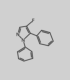 Fc1cnn(-c2ccccc2)c1-c1ccccc1